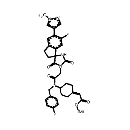 Cn1cc(-c2cc3c(cc2F)C2(CC3)NC(=O)N(CC(=O)N(Cc3ccc(F)cc3)C3CCC(=CC(=O)OC(C)(C)C)CC3)C2=O)cn1